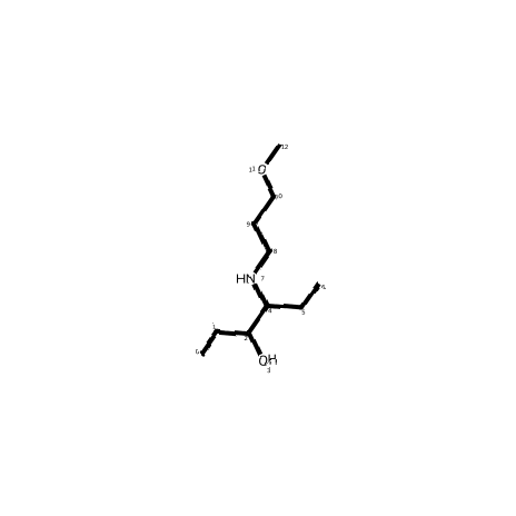 CCC(O)C(CC)NCCCOC